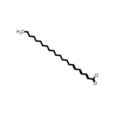 CCCCCCCCCCCCCCCC=CC=CC=CC(=O)Cl